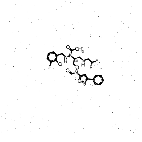 CC(=O)N(NCc1cccc(F)c1Cl)[C@@H](CNCC(F)F)CON(C=O)c1cc(-c2ccccc2)no1